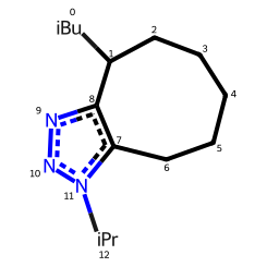 CCC(C)C1CCCCCc2c1nnn2C(C)C